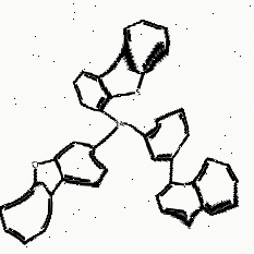 c1cc(-c2cccc3ccccc23)cc(N(c2ccc3c(c2)oc2ccccc23)c2cccc3c2sc2ccccc23)c1